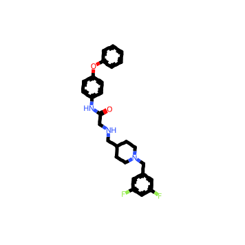 O=C(CNCC1CCN(Cc2cc(F)cc(F)c2)CC1)Nc1ccc(Oc2ccccc2)cc1